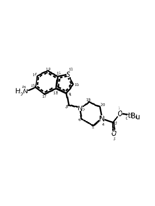 CC(C)(C)OC(=O)N1CCN(Cc2csc3ccc(N)cc23)CC1